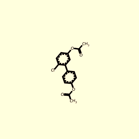 CC(=O)Oc1ccc(-c2cc(OC(C)=O)ccc2Cl)cc1